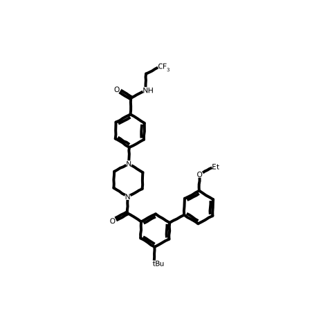 CCOc1cccc(-c2cc(C(=O)N3CCN(c4ccc(C(=O)NCC(F)(F)F)cc4)CC3)cc(C(C)(C)C)c2)c1